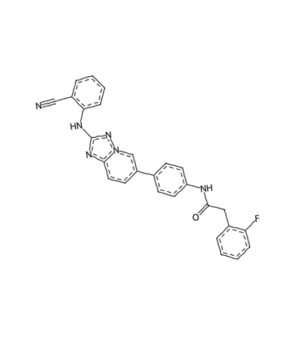 N#Cc1ccccc1Nc1nc2ccc(-c3ccc(NC(=O)Cc4ccccc4F)cc3)cn2n1